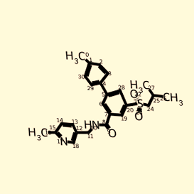 Cc1ccc(-c2cc(C(=O)NCc3ccc(C)nc3)cc(S(=O)(=O)CC(C)C)c2)cc1